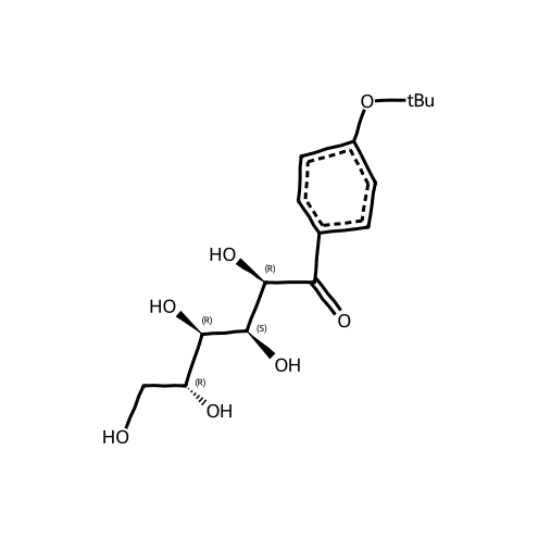 CC(C)(C)Oc1ccc(C(=O)[C@H](O)[C@@H](O)[C@H](O)[C@H](O)CO)cc1